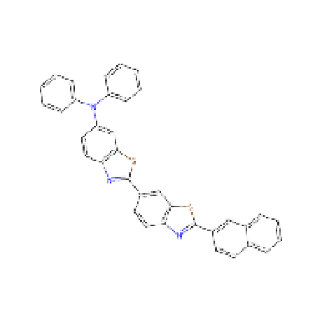 c1ccc(N(c2ccccc2)c2ccc3nc(-c4ccc5nc(-c6ccc7ccccc7c6)sc5c4)sc3c2)cc1